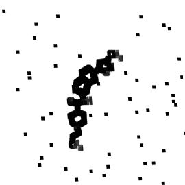 Cc1cc(-c2ccc3cnc(NC(=O)C4CCN(CCC(F)(F)F)CC4)cc3c2)on1